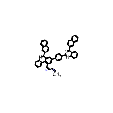 C/C=C\C=C/c1cc(-c2ccc(-c3nc(-c4ccc5ccccc5c4)c4ccccc4n3)cc2)cc2c(-c3ccc4ccccc4c3)nc3ccccc3c12